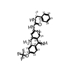 C[C@@H](NC(=O)Nc1cc(N)c(C(=N)c2ccc(OC(F)(F)F)cc2)cn1)c1ccccc1